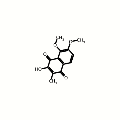 COc1ccc2c(c1OC)C(=O)C(O)=C(C)C2=O